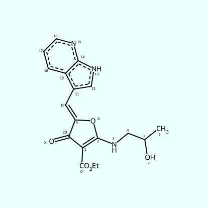 CCOC(=O)C1=C(NCC(C)O)O/C(=C\c2c[nH]c3ncccc23)C1=O